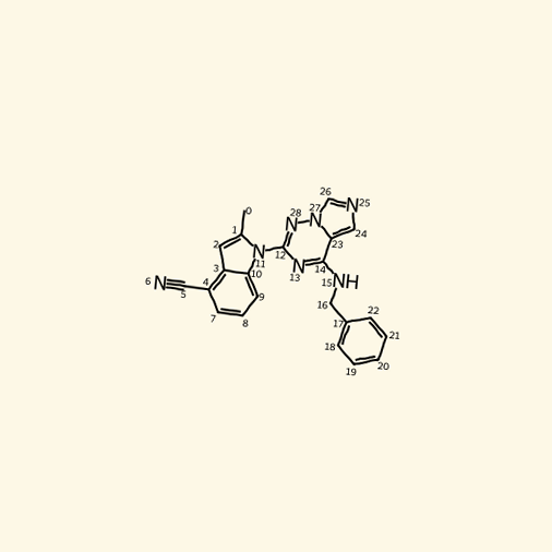 Cc1cc2c(C#N)cccc2n1-c1nc(NCc2ccccc2)c2cncn2n1